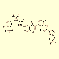 O=C(Nc1c(F)ccc(NC(=O)c2cc(NC(=O)[C@H]3[C@H](c4ccc(F)c(C(F)(F)F)c4)C3(Cl)Cl)ccc2Cl)c1F)c1ccn(CC(F)(F)F)n1